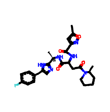 Cc1cc(C(=O)NC(CC(=O)N2CCCCC2C)C(=O)N[C@@H](C)c2ncc(-c3ccc(F)cc3)[nH]2)no1